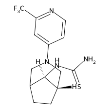 NC(=S)N[C@@H]1C2CC[C@H]1CN(c1ccnc(C(F)(F)F)c1)C2